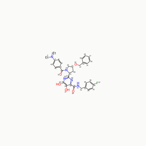 CCN(CC)c1ccc(C(=O)N2C[C@H](OCc3ccccc3)C[C@H]2c2nc(O)c(O)c(C(=O)NCc3ccc(F)cc3)n2)cc1